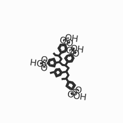 CCC(CC(CC(CC(CC(C)c1ccc(S(=O)(=O)O)cc1)c1ccc(C)cc1)c1ccc(S(=O)(=O)O)cc1)c1ccc(S(=O)(=O)O)cc1)c1ccc(S(=O)(=O)O)cc1